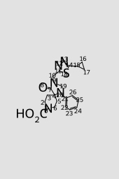 O=C(O)N1CCC2(CC1)C(=O)N(Cc1nnc(C3CC3)s1)CN2c1ccccc1